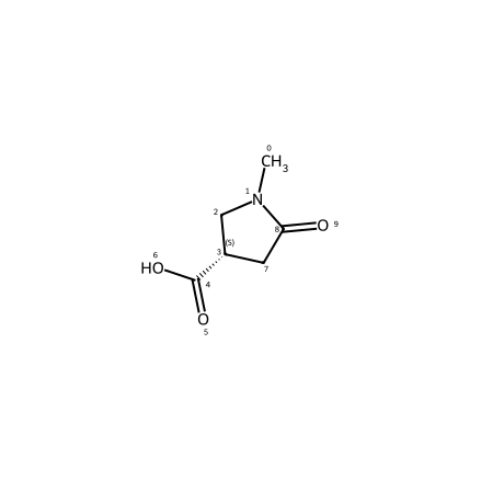 CN1C[C@@H](C(=O)O)CC1=O